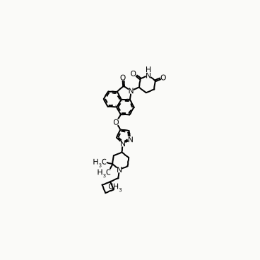 CC1(CN2CCC(n3cc(Oc4ccc5c6c(cccc46)C(=O)N5C4CCC(=O)NC4=O)cn3)CC2(C)C)CCC1